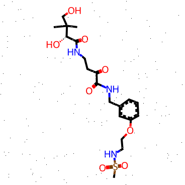 CC(C)(CO)[C@@H](O)C(=O)NCCC(=O)C(=O)NCc1cccc(OCCNS(C)(=O)=O)c1